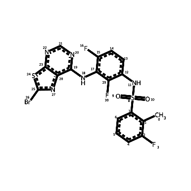 Cc1c(F)cccc1S(=O)(=O)Nc1ccc(F)c(Nc2ncnc3sc(Br)nc23)c1F